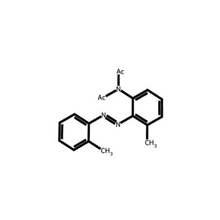 CC(=O)N(C(C)=O)c1cccc(C)c1N=Nc1ccccc1C